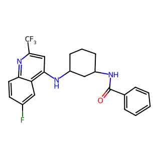 O=C(NC1CCCC(Nc2cc(C(F)(F)F)nc3ccc(F)cc23)C1)c1ccccc1